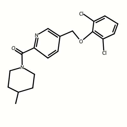 CC1CCN(C(=O)c2ccc(COc3c(Cl)cccc3Cl)cn2)CC1